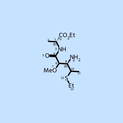 CCOC(=O)[C@@H](C)NC(=O)C(OC)[C@@H](N)C(C)SCC